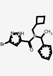 CC(c1ccccc1)N(CC1CCC1)C(=O)c1cc(Br)n[nH]1